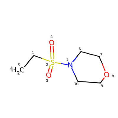 [CH2]CS(=O)(=O)N1CCOCC1